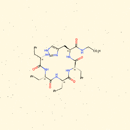 CC(C)C[C@H](NC(=O)[C@H](CC(C)C)NC(=O)[C@H](CC(C)C)NC(=O)[C@@H](N)CC(C)C)C(=O)N[C@@H](Cc1c[nH]cn1)C(=O)NCC(=O)O